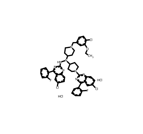 CCOc1cc(CN2CCC(N(Nc3nc(-c4ccccc4F)c4cc(Cl)ccc4n3)C3CCN(c4nc(-c5ccccc5F)c5cc(Cl)ccc5n4)CC3)CC2)ccc1Cl.Cl.Cl